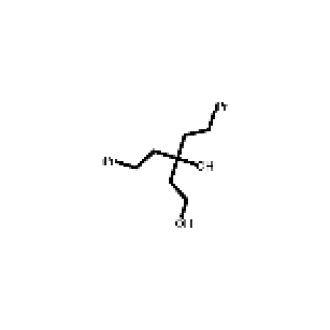 CC(C)CCC(O)(CCO)CCC(C)C